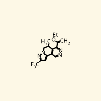 C=C(OCC)c1nncc2c1C(C)Cn1nc(C(F)(F)F)cc1-2